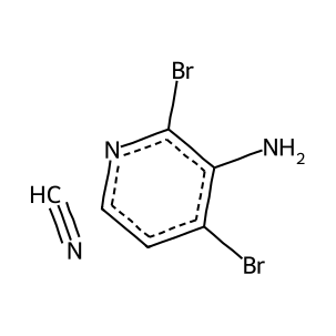 C#N.Nc1c(Br)ccnc1Br